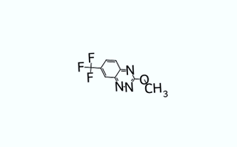 COc1nnc2cc(C(F)(F)F)ccc2n1